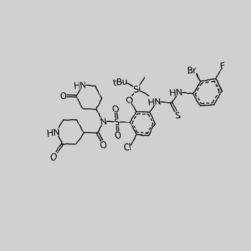 CC(C)(C)[Si](C)(C)Oc1c(NC(=S)Nc2cccc(F)c2Br)ccc(Cl)c1S(=O)(=O)N(C(=O)C1CCNC(=O)C1)C1CCNC(=O)C1